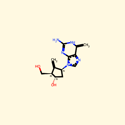 C=C1NC(N)=Nc2c1ncn2[C@H]1C[C@H](O)[C@@H](CO)C1=C